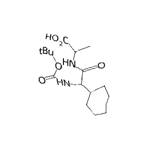 CC(NC(=O)C(NC(=O)OC(C)(C)C)C1CCCCC1)C(=O)O